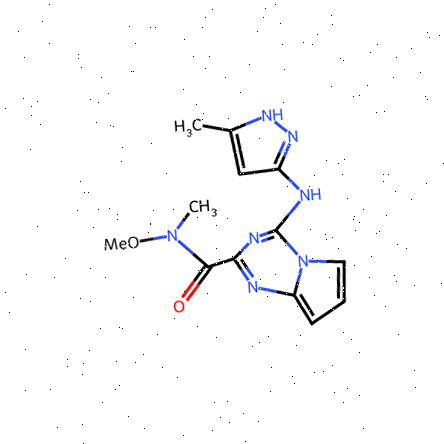 CON(C)C(=O)c1nc(Nc2cc(C)[nH]n2)n2cccc2n1